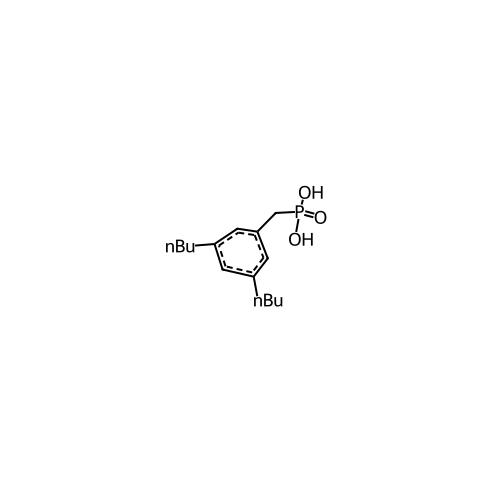 CCCCc1cc(CCCC)cc(CP(=O)(O)O)c1